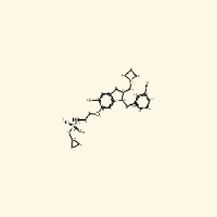 O=S(=O)(CC1CC1)NCCOc1cc2c(cc1F)CC(CN1CCC1)C2Cc1cccc(F)c1